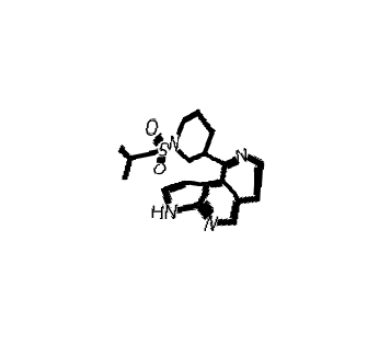 CC(C)S(=O)(=O)N1CCCC(c2nccc3cnc4[nH]ccc4c23)C1